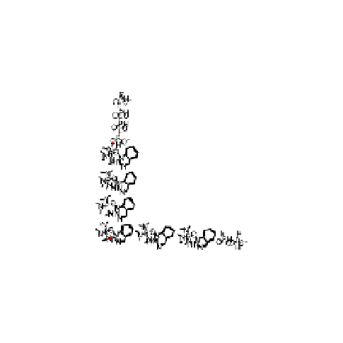 CN(C)[P+](ON1NN=Cc2ccccc21)(N(C)C)N(C)C.CN(C)[P+](ON1NN=Cc2ccccc21)(N(C)C)N(C)C.CN(C)[P+](ON1NN=Cc2ccccc21)(N(C)C)N(C)C.CN(C)[P+](ON1NN=Cc2ccccc21)(N(C)C)N(C)C.CN(C)[P+](ON1NN=Cc2ccccc21)(N(C)C)N(C)C.CN(C)[P+](ON1NN=Cc2ccccc21)(N(C)C)N(C)C.O=[PH]([O-])F.O=[PH]([O-])F.O=[PH]([O-])F.O=[PH]([O-])F.O=[PH]([O-])F.O=[PH]([O-])F